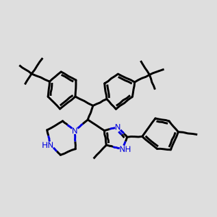 Cc1ccc(-c2nc(C(C(c3ccc(C(C)(C)C)cc3)c3ccc(C(C)(C)C)cc3)N3CCNCC3)c(C)[nH]2)cc1